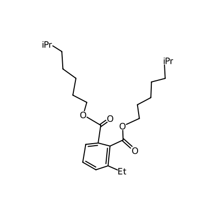 CCc1cccc(C(=O)OCCCCCC(C)C)c1C(=O)OCCCCCC(C)C